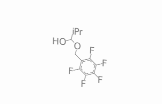 CC(C)C(O)OCc1c(F)c(F)c(F)c(F)c1F